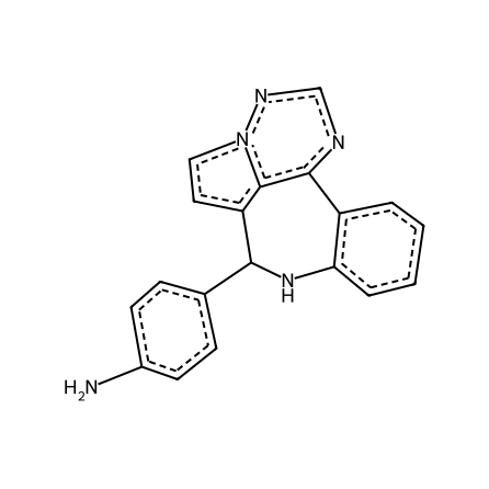 Nc1ccc(C2Nc3ccccc3-c3ncnn4ccc2c34)cc1